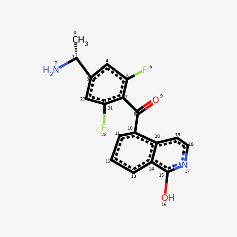 C[C@@H](N)c1cc(F)c(C(=O)c2cccc3c(O)nccc23)c(F)c1